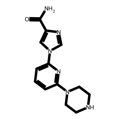 NC(=O)c1cn(-c2cccc(N3CCNCC3)n2)cn1